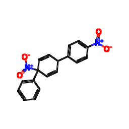 O=[N+]([O-])c1ccc(C2C=CC(c3ccccc3)([N+](=O)[O-])C=C2)cc1